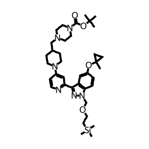 CC(C)(C)OC(=O)N1CCN(CC2CCN(c3ccnc(-c4nn(COCC[Si](C)(C)C)c5ccc(OC6(C)CC6)cc45)c3)CC2)CC1